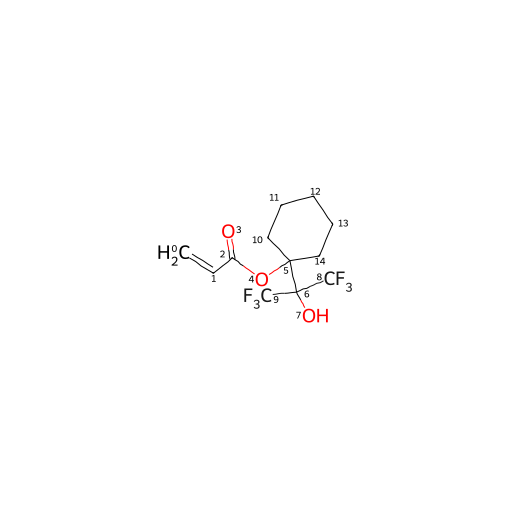 C=CC(=O)OC1(C(O)(C(F)(F)F)C(F)(F)F)CCCCC1